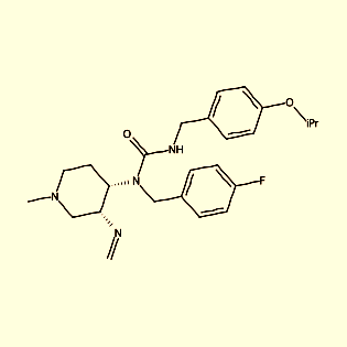 C=N[C@@H]1CN(C)CC[C@@H]1N(Cc1ccc(F)cc1)C(=O)NCc1ccc(OC(C)C)cc1